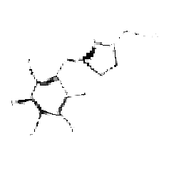 O=CCN1B=C(Oc2c(F)c(F)c(F)c(F)c2F)CC1